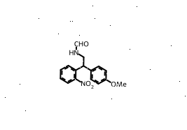 COc1ccc(C(CNC=O)c2ccccc2[N+](=O)[O-])cc1